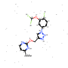 CNc1ccnc(OCc2cn(-c3ccc(F)c(OC(F)F)c3)nn2)n1